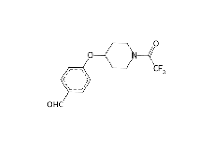 O=Cc1ccc(OC2CCN(C(=O)C(F)(F)F)CC2)cc1